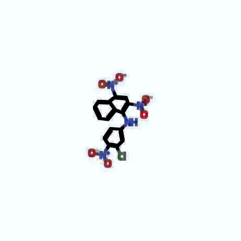 O=[N+]([O-])c1ccc(Nc2c([N+](=O)[O-])cc([N+](=O)[O-])c3ccccc23)cc1Cl